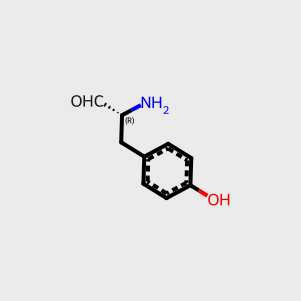 N[C@@H](C=O)Cc1ccc(O)cc1